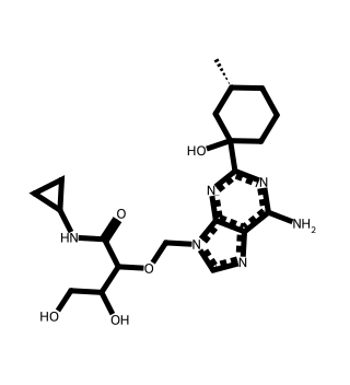 C[C@@H]1CCCC(O)(c2nc(N)c3ncn(COC(C(=O)NC4CC4)C(O)CO)c3n2)C1